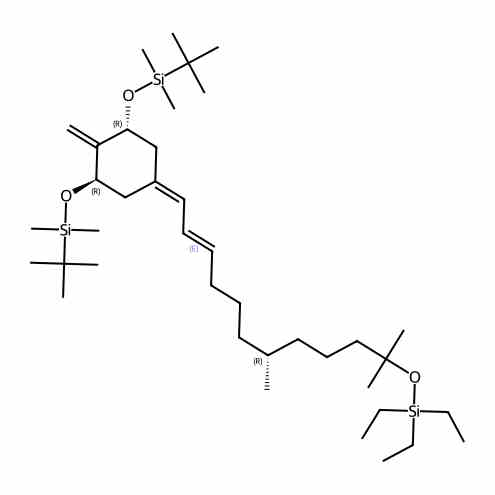 C=C1[C@H](O[Si](C)(C)C(C)(C)C)CC(=C/C=C/CCC[C@@H](C)CCCC(C)(C)O[Si](CC)(CC)CC)C[C@H]1O[Si](C)(C)C(C)(C)C